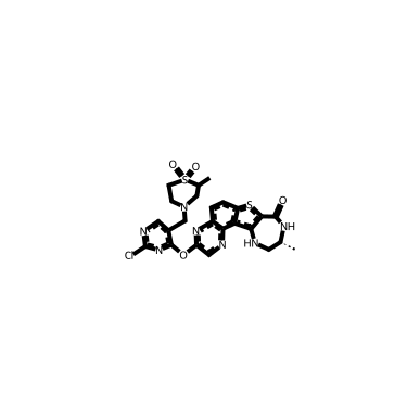 CC1CN(Cc2cnc(Cl)nc2Oc2cnc3c(ccc4sc5c(c43)NC[C@@H](C)NC5=O)n2)CCS1(=O)=O